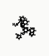 CN1CCC[C@H]1COc1cc(-n2cncc3ccnc2-3)nc(-c2onc3c2CCC[C@@]32CCCc3sc(N)c(C#N)c32)n1